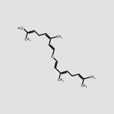 CC(C)=CCC=C(C)C=COC=CC(C)=CCC=C(C)C